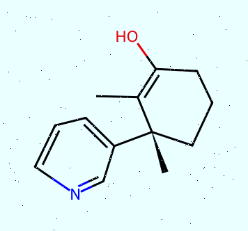 CC1=C(O)CCC[C@]1(C)c1cccnc1